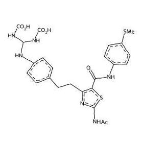 CSc1ccc(NC(=O)c2sc(NC(C)=O)nc2CCc2ccc(NC(NC(=O)O)NC(=O)O)cc2)cc1